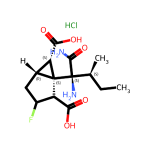 CC[C@H](C)[C@@](N)(C(N)=O)[C@@]12C(C(=O)O)C(F)C[C@@H]1[C@@H]2C(=O)O.Cl